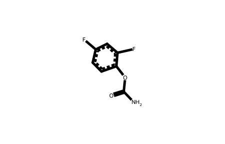 NC(=O)Oc1ccc(F)cc1F